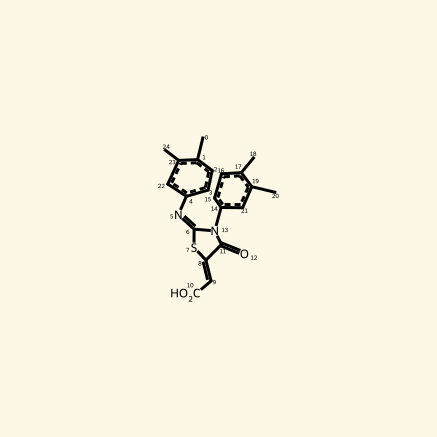 Cc1ccc(/N=C2/S/C(=C\C(=O)O)C(=O)N2c2ccc(C)c(C)c2)cc1C